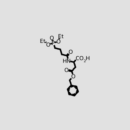 CCOP(=O)(CCCC(=O)NC(CC(=O)OCc1ccccc1)C(=O)O)OCC